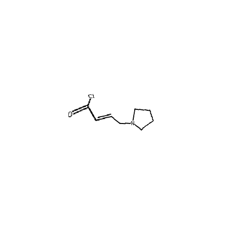 O=C(Cl)/C=C/CN1CCCC1